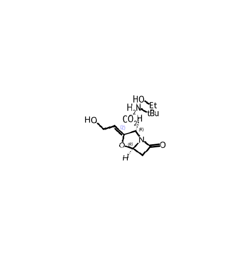 CC(C)(C)N.CCO.O=C(O)[C@H]1/C(=C/CO)O[C@@H]2CC(=O)N21